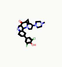 CN1CCN(C2CCN(c3c(C(=O)C4CC4)cnc4ccc(-c5cc(F)c(O)c(Cl)c5)cc34)CC2)CC1